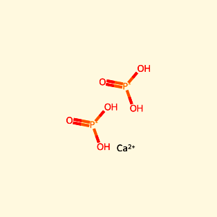 O=[P-](O)O.O=[P-](O)O.[Ca+2]